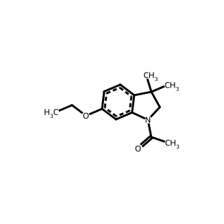 CCOc1ccc2c(c1)N(C(C)=O)CC2(C)C